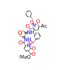 COC(=O)c1ccc(C(=O)N[C@H]2COC[C@H]2NC(=O)c2ccc(C(C)=O)c(=O)n2OCc2ccccc2)n(OCc2ccccc2)c1=O